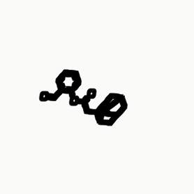 O=Cc1ccccc1OC(=O)CC1C2CC3CC(C2)CC1C3